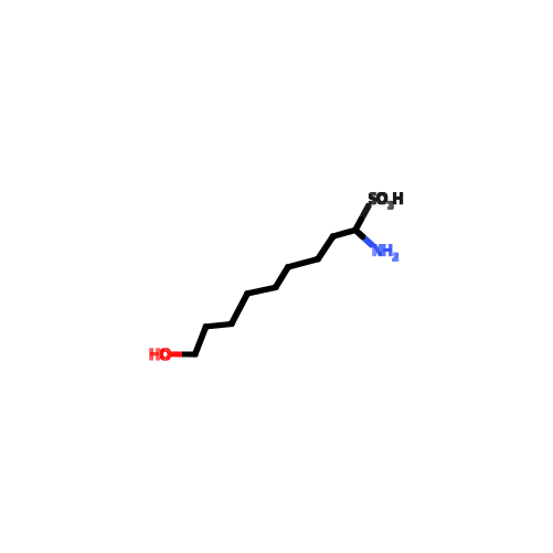 NC(CCCCCCCCO)S(=O)(=O)O